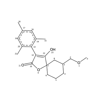 COCC1CCCC2(C1)OC(=O)C(c1c(C)cc(C)cc1C)=C2O